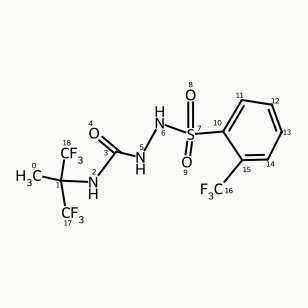 CC(NC(=O)NNS(=O)(=O)c1ccccc1C(F)(F)F)(C(F)(F)F)C(F)(F)F